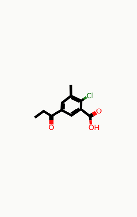 CCC(=O)c1cc(C)c(Cl)c(C(=O)O)c1